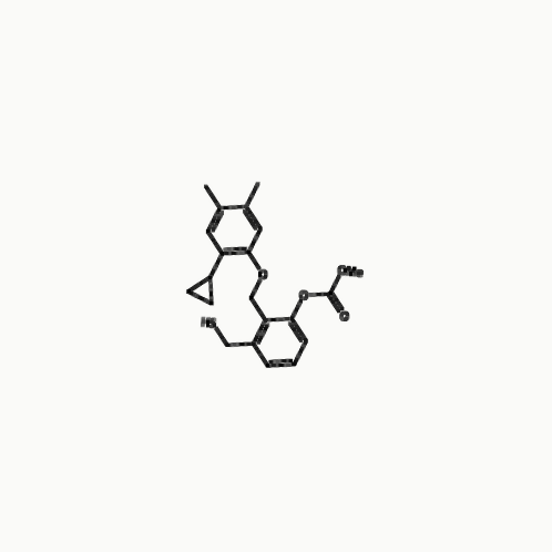 COC(=O)Oc1cccc(CS)c1COc1cc(C)c(C)cc1C1CC1